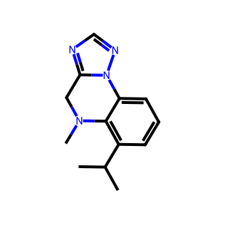 CC(C)c1cccc2c1N(C)Cc1ncnn1-2